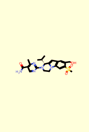 Cc1nc(N2CCn3c(cc4cc(CO)c(S(C)(=O)=O)cc43)[C@H]2C(C)C)ncc1C(N)=O